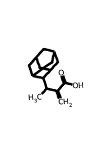 C=C(C(=O)O)C(C)C1C2CC3CC(C2)CC1C3